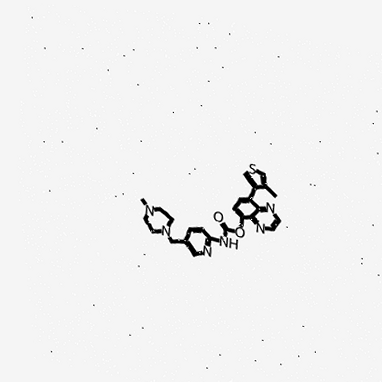 Cc1cscc1-c1ccc(OC(=O)Nc2ccc(CN3CCN(C)CC3)cn2)c2nccnc12